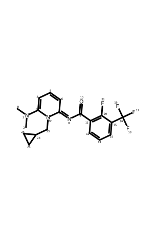 CN(C)c1ccc/c(=N\C(=O)c2cccc(C(F)(F)F)c2F)n1CC1CC1